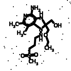 CCOCC1(CO)Nc2c(N)nc(C)c(C)c2N1NCCCS(C)(=O)=O